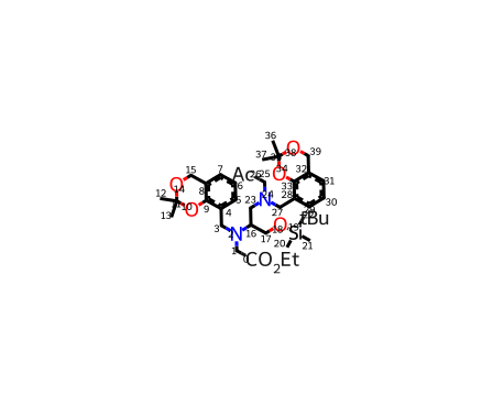 CCOC(=O)CN(Cc1cccc2c1OC(C)(C)OC2)C(CO[Si](C)(C)C(C)(C)C)CN(CC(C)=O)Cc1cccc2c1OC(C)(C)OC2